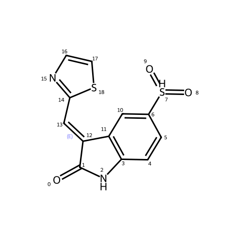 O=C1Nc2ccc([SH](=O)=O)cc2/C1=C\c1nccs1